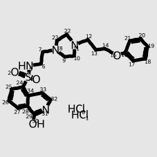 Cl.Cl.O=S(=O)(NCCN1CCN(CCCOc2ccccc2)CC1)c1cccc2c(O)nccc12